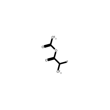 O=C(OC(=O)C(F)(F)F)C(F)C(F)(F)F